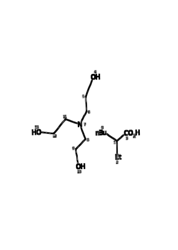 CCCCC(CC)C(=O)O.OCCN(CCO)CCO